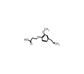 C=CCc1ccc(OCCC(=O)O)c(OC)c1